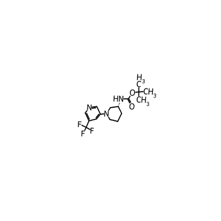 CC(C)(C)OC(=O)N[C@@H]1CCCN(c2cncc(C(F)(F)F)c2)C1